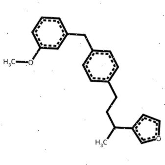 COc1cccc(Cc2ccc(CCC(C)c3ccoc3)cc2)c1